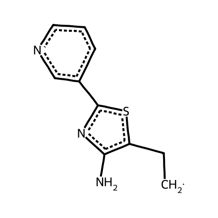 [CH2]Cc1sc(-c2cccnc2)nc1N